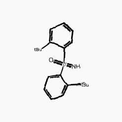 CC(C)(C)c1cccc[c]1[Zr](=[NH])(=[O])[c]1ccccc1C(C)(C)C